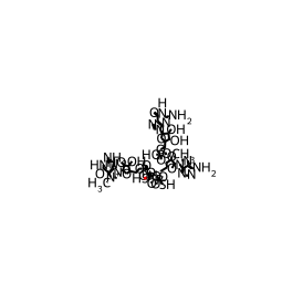 COC1C(OP(=O)(O)OCC2OC(n3cnc4c(=O)[nH]c(N)nc43)C(O)C2O)C(COP(=O)(S)OP(=O)(S)OP(=O)(O)OCC2OC(n3c[n+](C)c4c(=O)[nH]c(N)nc43)C(O)C2O)OC1n1cnc2c(N)ncnc21